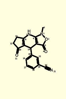 Cn1oc(=O)c2c1NC1=C(C(=O)CC1)C2c1cccc(C#N)c1